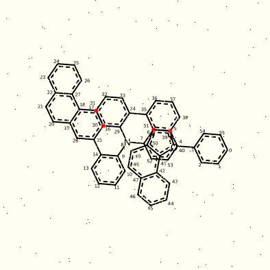 c1ccc(-c2ccc(N(c3ccccc3-c3ccc4c(ccc5ccccc54)c3)c3ccccc3-c3cccc4oc5c6ccccc6ccc5c34)cc2)cc1